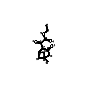 CCOC(=O)C(=O)C1C(=O)CC2(C)CC1C2